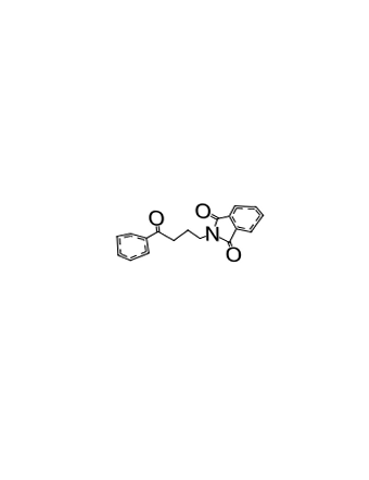 O=C(CCCN1C(=O)c2ccccc2C1=O)c1ccccc1